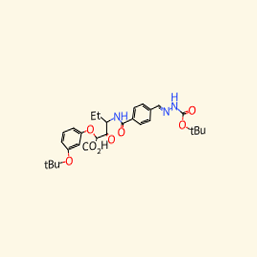 CCC(NC(=O)c1ccc(C=NNC(=O)OC(C)(C)C)cc1)C(=O)C(Oc1cccc(OC(C)(C)C)c1)C(=O)O